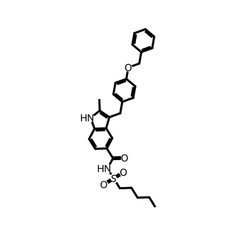 CCCCCS(=O)(=O)NC(=O)c1ccc2[nH]c(C)c(Cc3ccc(OCc4ccccc4)cc3)c2c1